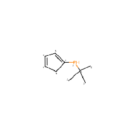 CC(C)(C)PC1=CC=CC1